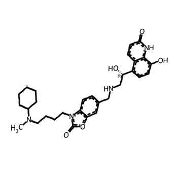 CN(CCCCn1c(=O)oc2cc(CNC[C@H](O)c3ccc(O)c4[nH]c(=O)ccc34)ccc21)C1CC[CH]CC1